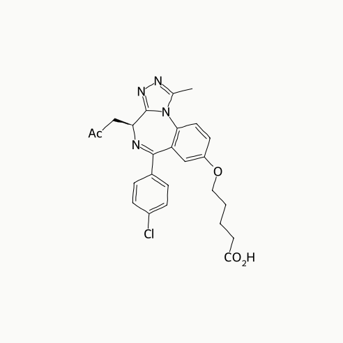 CC(=O)C[C@@H]1N=C(c2ccc(Cl)cc2)c2cc(OCCCCC(=O)O)ccc2-n2c(C)nnc21